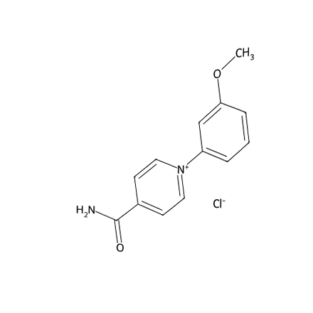 COc1cccc(-[n+]2ccc(C(N)=O)cc2)c1.[Cl-]